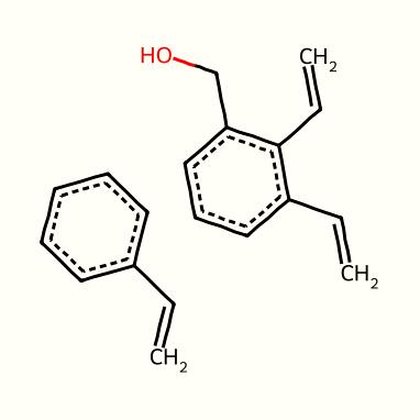 C=Cc1cccc(CO)c1C=C.C=Cc1ccccc1